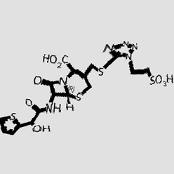 O=C(O)C1=C(CSc2nnnn2CCS(=O)(=O)O)CS[C@@H]2C(NC(=O)C(O)c3cccs3)C(=O)N12